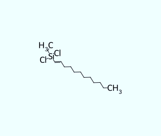 CCCCCCCCCCC=C[Si](Cl)(Cl)CC